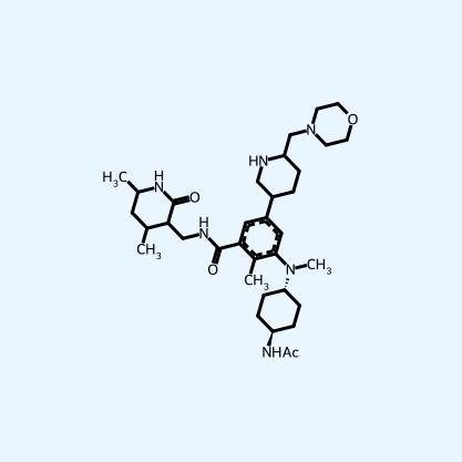 CC(=O)N[C@H]1CC[C@H](N(C)c2cc(C3CCC(CN4CCOCC4)NC3)cc(C(=O)NCC3C(=O)NC(C)CC3C)c2C)CC1